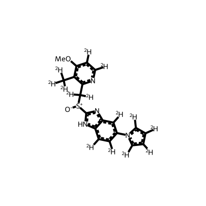 [2H]c1nc(C([2H])([2H])[S+]([O-])c2nc3c([2H])c(-n4c([2H])c([2H])c([2H])c4[2H])c([2H])c([2H])c3[nH]2)c(C([2H])([2H])[2H])c(OC)c1[2H]